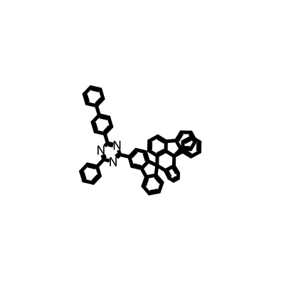 c1ccc(-c2ccc(-c3nc(-c4ccccc4)nc(-c4ccc5c(c4)-c4ccccc4C54c5ccccc5C5(c6ccccc6)c6ccccc6-c6cccc4c65)n3)cc2)cc1